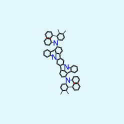 Cc1ccc(N(c2ccccc2)c2ccc3c4cc5c(cc4n4c6ccccc6c2c34)c2ccc(N(c3ccccc3)c3ccc(C)c(C)c3-c3ccccc3)c3c4ccccc4n5c23)c(-c2ccccc2)c1C